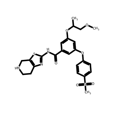 COCC(C)Oc1cc(Oc2ccc(S(C)(=O)=O)cc2)cc(C(=O)Nc2nc3c(s2)CNCC3)c1